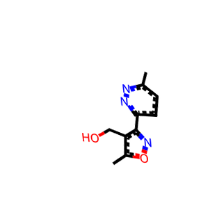 Cc1ccc(-c2noc(C)c2CO)nn1